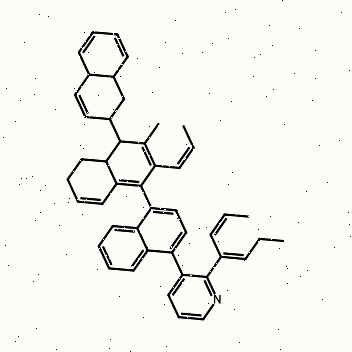 C/C=C\C1=C(C)C(C2C=CC3C=CC=CC3C2)C2CCC=CC2=C1c1ccc(-c2cccnc2C(/C=C\C)=C/CC)c2ccccc12